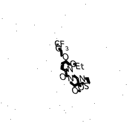 CCOc1nc(C(=O)N2CC[C@]3(c4nccs4)OCOC3C2)ccc1OCCOC(F)(F)F